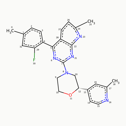 Cc1ccc(-c2nc(N3CCO[C@@H](c4ccnc(C)c4)C3)nc3nc(C)ccc23)c(F)c1